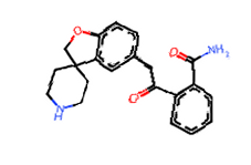 NC(=O)c1ccccc1C(=O)Cc1ccc2c(c1)C1(CCNCC1)CO2